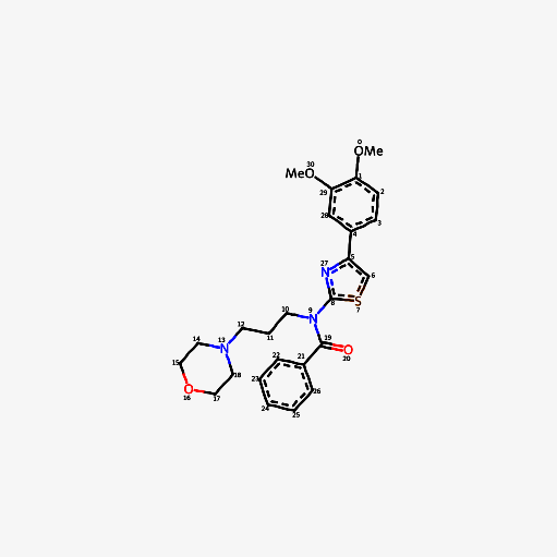 COc1ccc(-c2csc(N(CCCN3CCOCC3)C(=O)c3ccccc3)n2)cc1OC